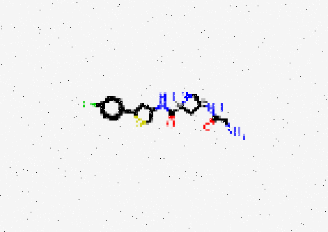 NCC(=O)N[C@H]1CN[C@H](C(=O)NC2CSC(c3ccc(Cl)cc3)C2)C1